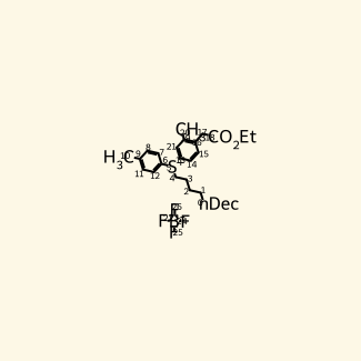 CCCCCCCCCCCCCC[S+](c1ccc(C)cc1)c1ccc(CC(=O)OCC)c(C)c1.F[B-](F)(F)F